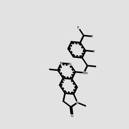 Cc1nnc(NC(C)c2cccc(C(F)F)c2F)c2cc3c(cc12)CC(=O)N3C